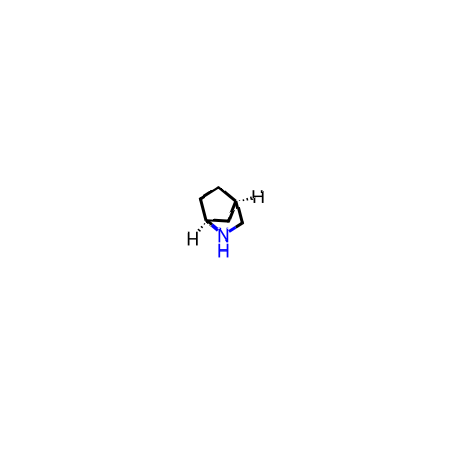 C1C[C@H]2C[C@@H]1CN2